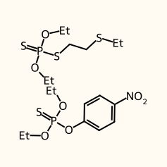 CCOP(=S)(OCC)Oc1ccc([N+](=O)[O-])cc1.CCOP(=S)(OCC)SCCSCC